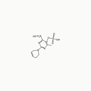 Cc1nc(N2CC=CCC2)nc(N)[n+]1OS(=O)(=O)O.[OH-]